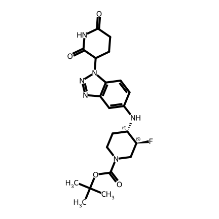 CC(C)(C)OC(=O)N1CC[C@H](Nc2ccc3c(c2)nnn3C2CCC(=O)NC2=O)[C@@H](F)C1